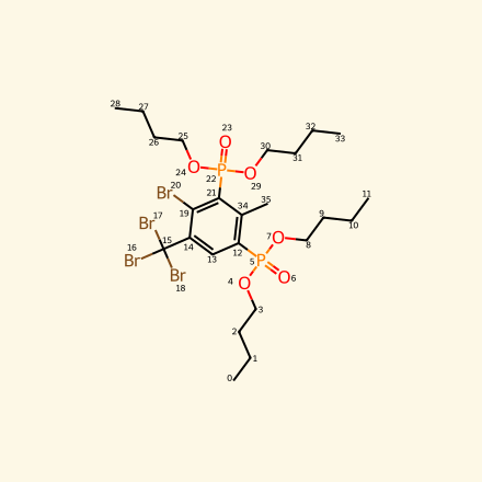 CCCCOP(=O)(OCCCC)c1cc(C(Br)(Br)Br)c(Br)c(P(=O)(OCCCC)OCCCC)c1C